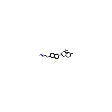 C/C=C/CCc1ccc2cc([C@@H]3CC[C@@H]4CC(C)CCC4C3)cc(F)c2c1